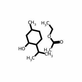 CC1CCC(C(C)C)C(O)C1.CCOC(C)=O